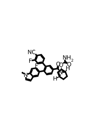 Cn1ccc2cc(-c3ccc(C(=O)N4[C@@H]5CC[C@H]4[C@@H](OC(N)=O)C5)cc3-c3ccc(C#N)c(F)c3)c(F)cc21